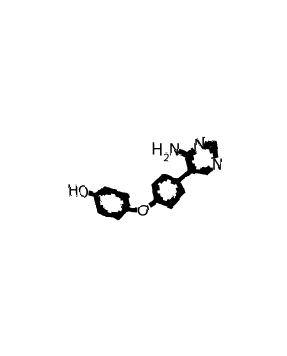 Nc1ncncc1-c1ccc(Oc2ccc(O)cc2)cc1